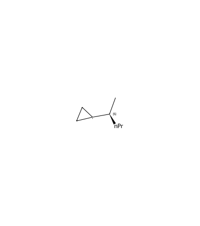 CCC[C@H](C)[C]1CC1